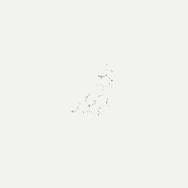 Cc1nc2ccc(-c3cnc(C(C)(C)O)nc3)cc2c(C(O)C(C)CC(C)C)c1Cl